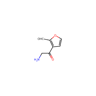 NCC(=O)c1ccoc1C=O